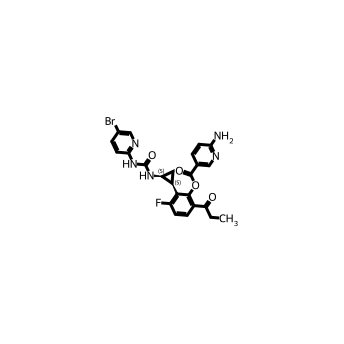 CCC(=O)c1ccc(F)c([C@@H]2C[C@@H]2NC(=O)Nc2ccc(Br)cn2)c1OC(=O)c1ccc(N)nc1